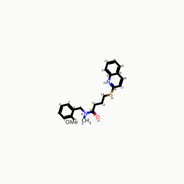 COc1ccccc1CN(C)C(=O)CCCSc1ccc2ccccc2n1